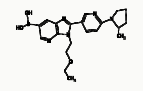 CCOCCn1c(-c2ccc(N3CCCC3C)nc2)nc2cc(B(O)O)cnc21